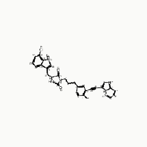 Cc1ccc(CCCN2C(=O)NC(Cc3c[nH]c4c(Cl)cccc34)C2=O)cc1C#Cc1cnc2cccnn12